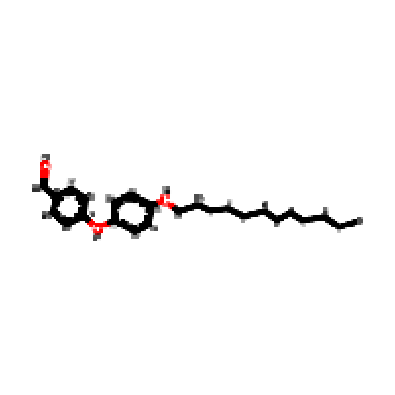 CCCCCCCCCCCCOc1ccc(Oc2ccc(C=O)cc2)cc1